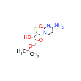 CC(C)OC[C@H]1O[C@@H](n2ccc(N)nc2=O)[C@H](F)[C@@H]1O